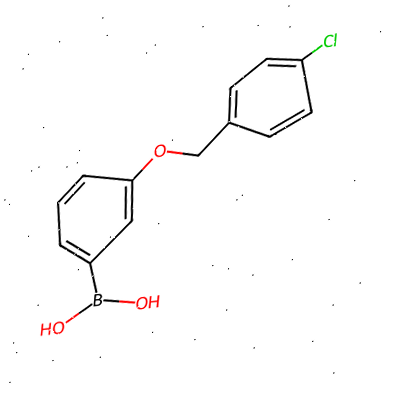 OB(O)c1cccc(OCc2ccc(Cl)cc2)c1